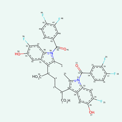 Cc1c(C(CCC(C(=O)O)c2c(C)n(C(=O)c3ccc(F)c(F)c3)c3cc(F)c(O)cc23)C(=O)O)c2cc(O)c(F)cc2n1C(=O)c1ccc(F)c(F)c1